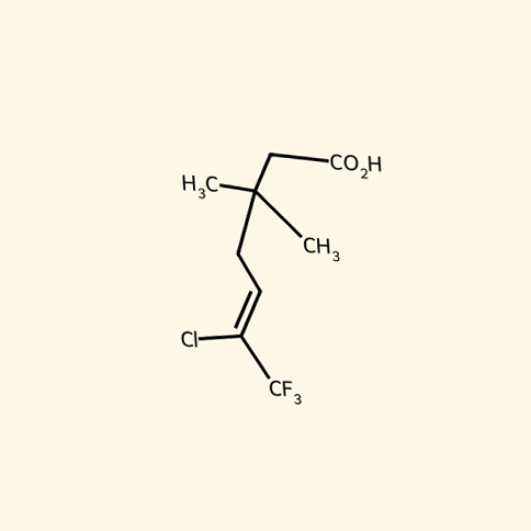 CC(C)(CC=C(Cl)C(F)(F)F)CC(=O)O